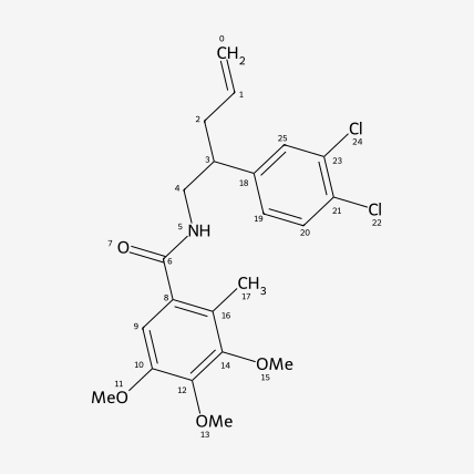 C=CCC(CNC(=O)c1cc(OC)c(OC)c(OC)c1C)c1ccc(Cl)c(Cl)c1